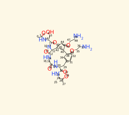 CC(=O)N[C@@H](CO)C(=O)N(C)[C@@H]1C(=O)N[C@@H](C)C(=O)N[C@H](C(=O)N[C@@H](C)C(C)=O)Cc2ccc(OCCN)c(c2)-c2cc1ccc2OCCN